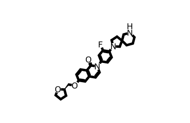 O=c1c2ccc(OC[C@H]3CCCO3)cc2ccn1-c1ccc(N2CCC3(CCCNC3)C2)c(F)c1